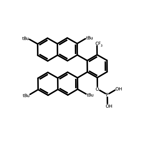 CC(C)(C)c1ccc2cc(-c3c(OP(O)O)ccc(C(F)(F)F)c3-c3cc4ccc(C(C)(C)C)cc4cc3C(C)(C)C)c(C(C)(C)C)cc2c1